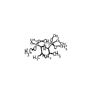 CO[Si](OC)(OC)C(NC(C(C)C)[Si](OC)(OC)OC)C(C)C